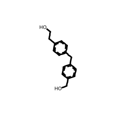 OCCc1ccc(Cc2[c]cc(CO)cc2)cc1